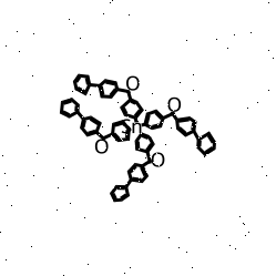 O=C(c1ccc(-c2ccccc2)cc1)c1cc[c]([Sn]([c]2ccc(C(=O)c3ccc(-c4ccccc4)cc3)cc2)([c]2ccc(C(=O)c3ccc(-c4ccccc4)cc3)cc2)[c]2ccc(C(=O)c3ccc(-c4ccccc4)cc3)cc2)cc1